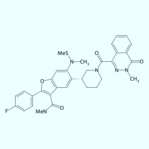 CNC(=O)c1c(-c2ccc(F)cc2)oc2cc(N(C)SC)c([C@H]3CCCN(C(=O)c4nn(C)c(=O)c5ccccc45)C3)cc12